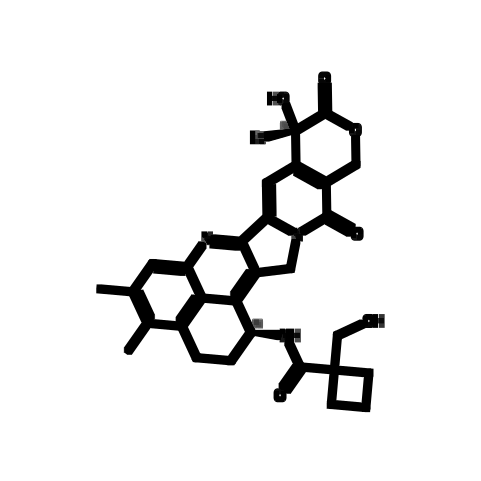 CC[C@@]1(O)C(=O)OCc2c1cc1n(c2=O)Cc2c-1nc1cc(C)c(C)c3c1c2[C@@H](NC(=O)C1(CO)CCC1)CC3